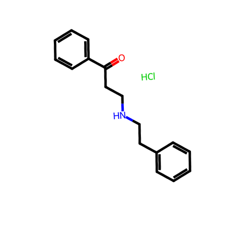 Cl.O=C(CCNCCc1ccccc1)c1ccccc1